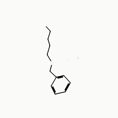 CCCCCCCCCCCCNCc1ccccc1.Cl.N